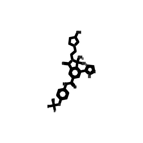 CC1(C)c2c(cc(C(=O)Nc3ccc(OC(F)(F)Cl)cc3)cc2-c2ccn[nH]2)C(=O)N1CCN1CCC(O)C1